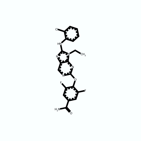 CCn1c(Nc2ccccc2Cl)nc2cnc(Oc3c(F)cc(C(N)=O)cc3F)nc21